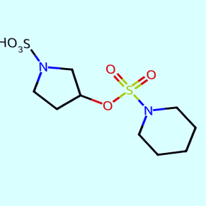 O=S(=O)(O)N1CCC(OS(=O)(=O)N2CCCCC2)C1